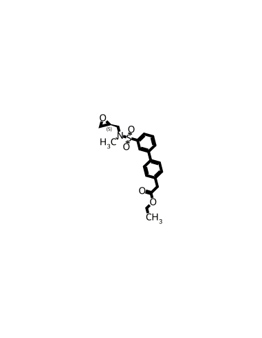 CCOC(=O)Cc1ccc(-c2cccc(S(=O)(=O)N(C)C[C@H]3CO3)c2)cc1